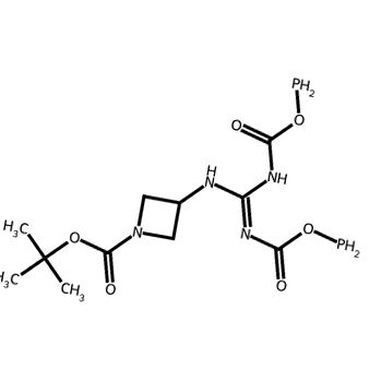 CC(C)(C)OC(=O)N1CC(NC(=NC(=O)OP)NC(=O)OP)C1